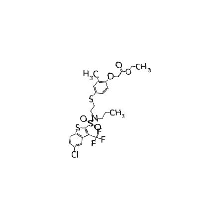 CCCN(CCSc1ccc(OCC(=O)OCC)c(C)c1)S(=O)(=O)c1sc2ccc(Cl)cc2c1C(F)(F)F